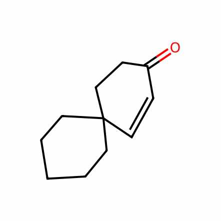 O=C1C=CC2(CCCCC2)CC1